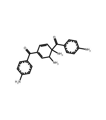 Nc1ccc(C(=O)C2=CC(N)C(N)(C(=O)c3ccc(N)cc3)C=C2)cc1